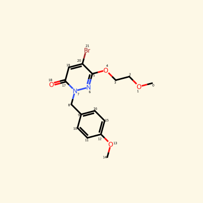 COCCOc1nn(Cc2ccc(OC)cc2)c(=O)cc1Br